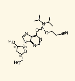 CC(C)N(C(C)C)P(OCCC#N)Oc1ncnc2c1ncn2[C@@H]1O[C@H](CO)C[C@H]1O